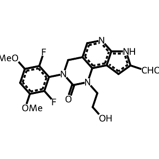 COc1cc(OC)c(F)c(N2Cc3cnc4[nH]c(C=O)cc4c3N(CCO)C2=O)c1F